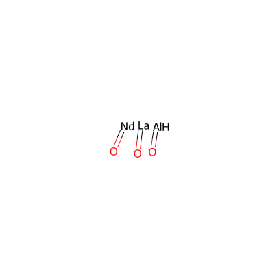 [O]=[AlH].[O]=[La].[O]=[Nd]